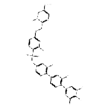 CCCCCC1=CN=C(CCc2ccc(C(F)(F)Oc3ccc(-c4ccc(-c5cc(F)c(F)c(F)c5)c(F)c4)c(F)c3)c(F)c2)N(C)C1